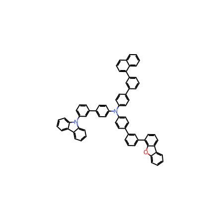 c1cc(-c2ccc(N(c3ccc(-c4cccc(-c5cccc6c5oc5ccccc56)c4)cc3)c3ccc(-c4cccc(-n5c6ccccc6c6ccccc65)c4)cc3)cc2)cc(-c2cccc3ccccc23)c1